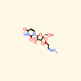 NCCCO[C@]1(CO)O[C@@H](n2ccc(=O)[nH]c2=O)[C@H](O)[C@@H]1O